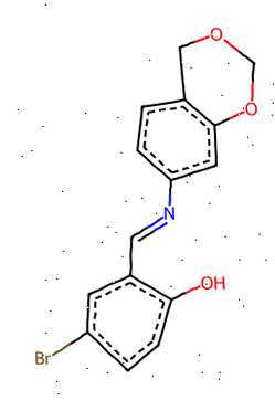 Oc1ccc(Br)cc1/C=N/c1ccc2c(c1)OCOC2